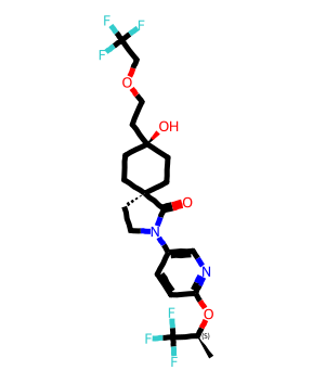 C[C@H](Oc1ccc(N2CC[C@]3(CC[C@@](O)(CCOCC(F)(F)F)CC3)C2=O)cn1)C(F)(F)F